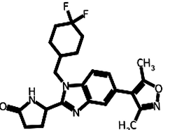 Cc1noc(C)c1-c1ccc2c(c1)nc(C1CCC(=O)N1)n2CC1CCC(F)(F)CC1